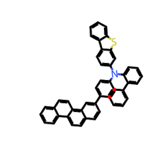 c1ccc(-c2ccccc2N(c2ccc(-c3ccc4ccc5c6ccccc6ccc5c4c3)cc2)c2ccc3c(c2)sc2ccccc23)cc1